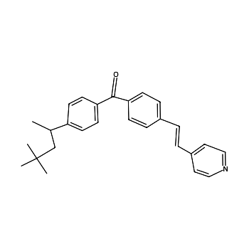 CC(CC(C)(C)C)c1ccc(C(=O)c2ccc(C=Cc3ccncc3)cc2)cc1